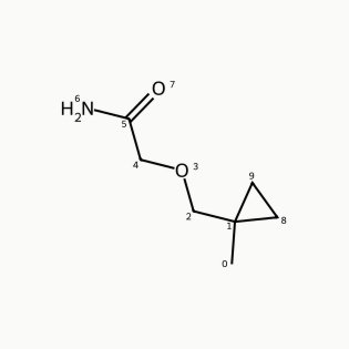 CC1(COCC(N)=O)CC1